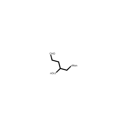 CCCCCCCCCCC(CCC=O)CCCCCCCC